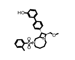 COC[C@@H]1[C@@H](c2ccc(-c3cccc(O)c3)cc2)C2CN(S(=O)(=O)c3ccccc3C)CCCCN21